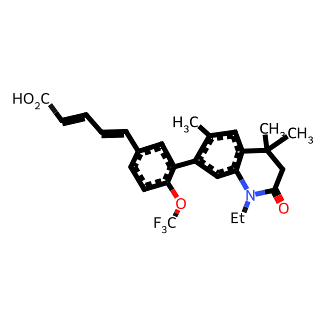 CCN1C(=O)CC(C)(C)c2cc(C)c(-c3cc(/C=C/C=C/C(=O)O)ccc3OC(F)(F)F)cc21